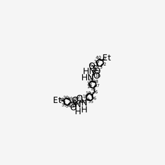 CCc1ccc(S(=O)(=O)NC(=O)Nc2ccc(Cc3ccc(NC(=O)NS(=O)(=O)c4ccc(CC)cc4)cc3)cc2)cc1